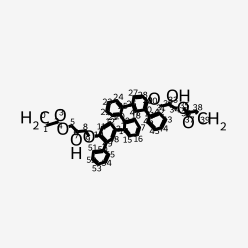 C=CC(=O)OCC(O)COc1ccc(-c2ccccc2-c2ccccc2-c2ccc(OCC(O)COC(=O)C=C)c(-c3ccccc3)c2)cc1-c1ccccc1